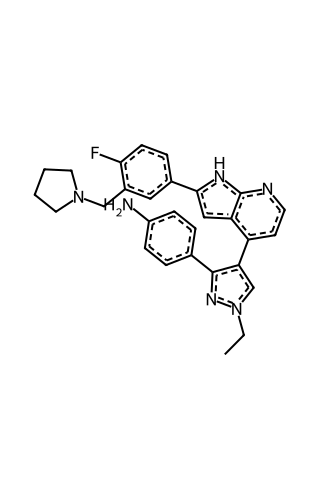 CCn1cc(-c2ccnc3[nH]c(-c4ccc(F)c(CN5CCCC5)c4)cc23)c(-c2ccc(N)cc2)n1